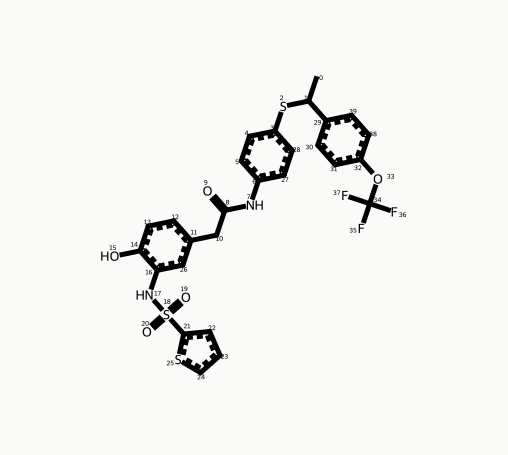 CC(Sc1ccc(NC(=O)Cc2ccc(O)c(NS(=O)(=O)c3cccs3)c2)cc1)c1ccc(OC(F)(F)F)cc1